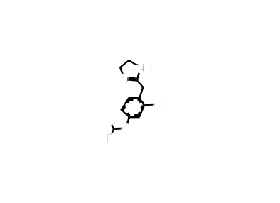 Cc1cc(OC(F)F)ccc1CC1=NCCN1